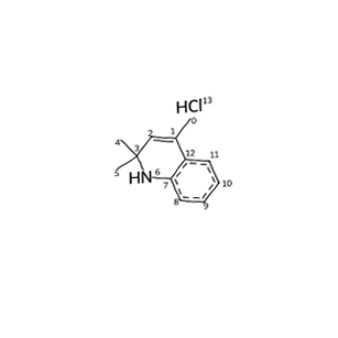 CC1=CC(C)(C)Nc2ccccc21.Cl